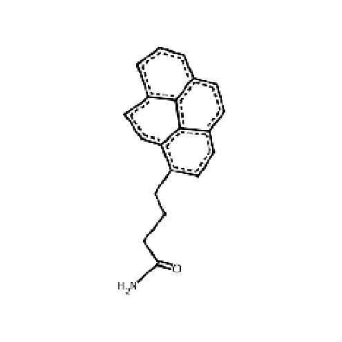 NC(=O)CCCc1ccc2ccc3cccc4ccc1c2c34